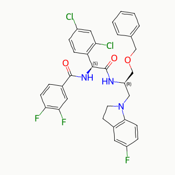 O=C(N[C@H](C(=O)N[C@@H](COCc1ccccc1)CN1CCc2cc(F)ccc21)c1ccc(Cl)cc1Cl)c1ccc(F)c(F)c1